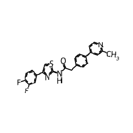 Cc1cc(-c2ccc(CC(=O)Nc3nc(-c4ccc(F)c(F)c4)cs3)cc2)ccn1